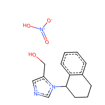 O=[N+]([O-])O.OCc1cncn1C1CCCc2ccccc21